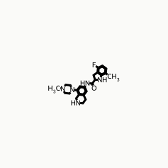 Cc1ccc(F)c2c1NC(C(=O)Nc1cc3c(c(N4CCN(C)CC4)c1)CNCC3)C2